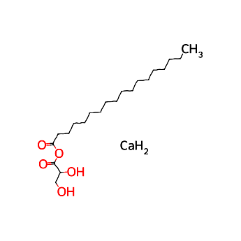 CCCCCCCCCCCCCCCCCC(=O)OC(=O)C(O)CO.[CaH2]